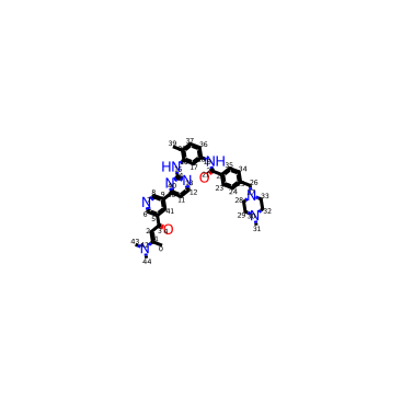 C/C(=C\C(=O)c1cncc(-c2ccnc(Nc3cc(NC(=O)c4ccc(CN5CCN(C)CC5)cc4)ccc3C)n2)c1)N(C)C